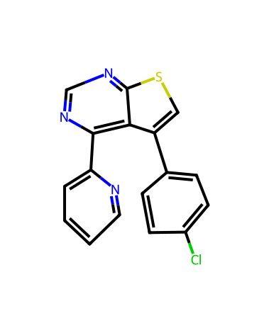 Clc1ccc(-c2csc3ncnc(-c4ccccn4)c23)cc1